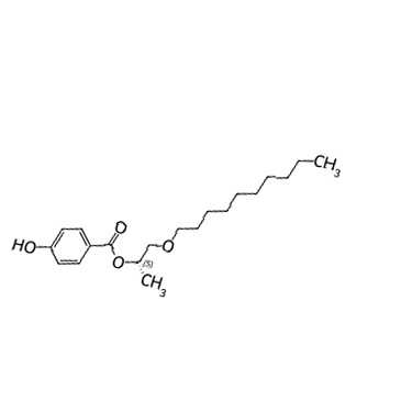 CCCCCCCCCCOC[C@H](C)OC(=O)c1ccc(O)cc1